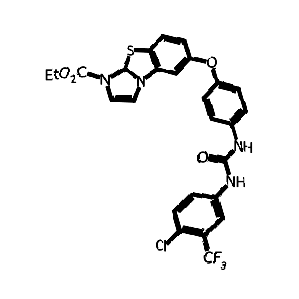 CCOC(=O)N1C=CN2c3cc(Oc4ccc(NC(=O)Nc5ccc(Cl)c(C(F)(F)F)c5)cc4)ccc3SC12